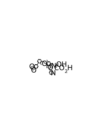 Cc1cc(CNC(CO)C(=O)O)c(OCc2cccnc2)cc1OCc1cccc(-c2ccc3c(c2)OCCO3)c1C